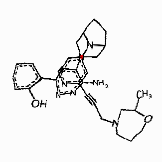 CC1CN(CC#Cc2cc(N3C4CCC3CN(c3cc(-c5ccccc5O)nnc3N)C4)ccn2)CCCO1